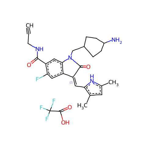 C#CCNC(=O)c1cc2c(cc1F)/C(=C/c1[nH]c(C)cc1C)C(=O)N2CC1CCC(N)CC1.O=C(O)C(F)(F)F